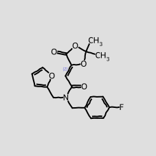 CC1(C)OC(=O)/C(=C/C(=O)N(Cc2ccc(F)cc2)Cc2ccco2)O1